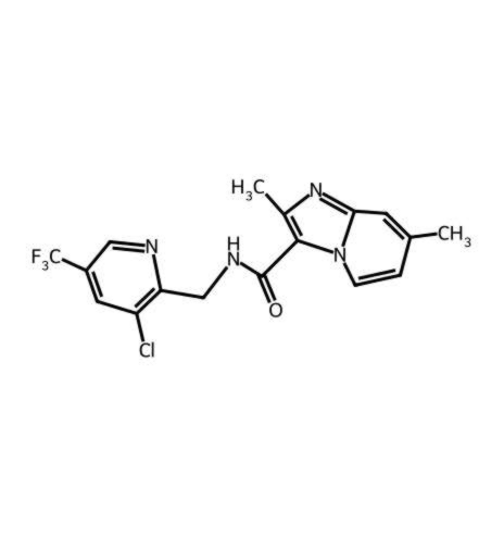 Cc1ccn2c(C(=O)NCc3ncc(C(F)(F)F)cc3Cl)c(C)nc2c1